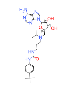 CC(C)N(CCCNC(=O)Nc1ccc(C(C)(C)C)cc1)C[C@H]1OC(n2cnc3c(N)ncnc32)[C@H](O)[C@@H]1O